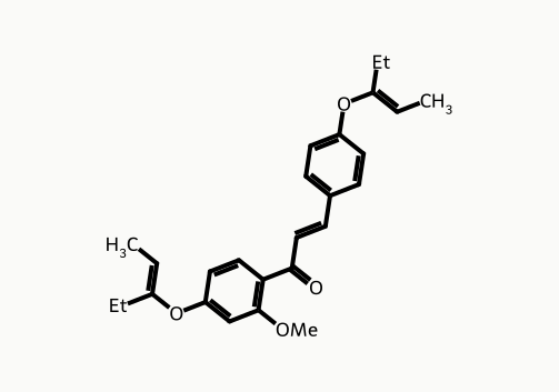 CC=C(CC)Oc1ccc(C=CC(=O)c2ccc(OC(=CC)CC)cc2OC)cc1